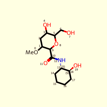 COC1CC(O)C(CO)OC1C(=O)N[C@H]1CCCC[C@@H]1O